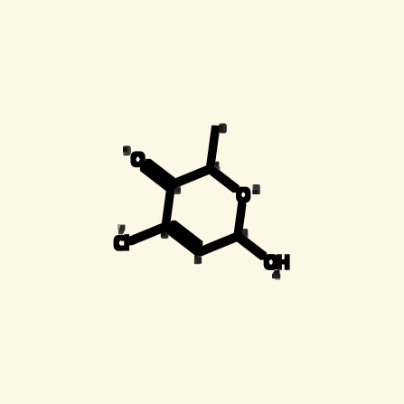 CC1OC(O)C=C(Cl)C1=O